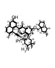 CC(C)[Si](C#Cc1c(F)ccc2cc(O)cc(-c3ncc4c(N5CCC(N)C(F)(F)C5)nc(OC[C@@]56CCCN5C[C@H](F)C6)nc4c3F)c12)(C(C)C)C(C)C